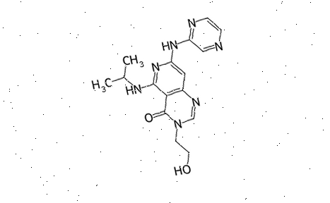 CC(C)Nc1nc(Nc2cnccn2)cc2ncn(CCO)c(=O)c12